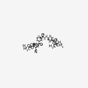 CC(C)(C)OC(=O)[C@H](C#N)CNC(=O)[C@@H]1CCCN(C(=O)CCC2CCN(C(=O)OC(C)(C)C)CC2)C1